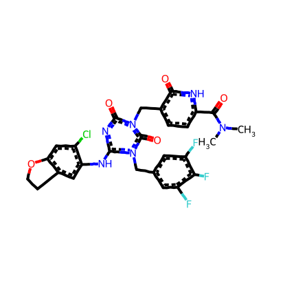 CN(C)C(=O)c1ccc(Cn2c(=O)nc(Nc3cc4c(cc3Cl)OCC4)n(Cc3cc(F)c(F)c(F)c3)c2=O)c(=O)[nH]1